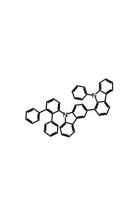 c1ccc(-c2cccc(-n3c4ccccc4c4cc(-c5cccc6c7ccccc7n(-c7ccccc7)c56)ccc43)c2-c2ccccc2)cc1